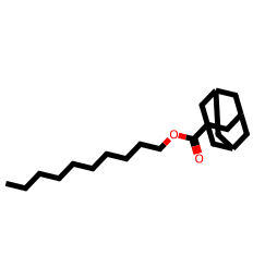 CCCCCCCCCCOC(=O)C12CC3CC(CC(C3)C1)C2